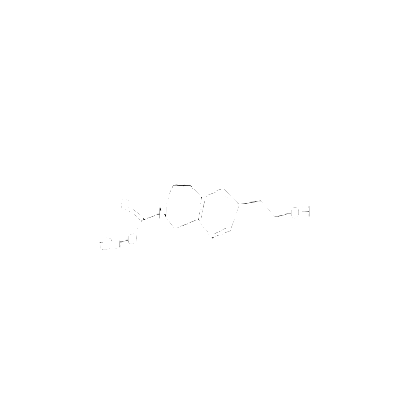 CC(C)(C)OC(=O)N1CCc2cc(CCO)ccc2C1